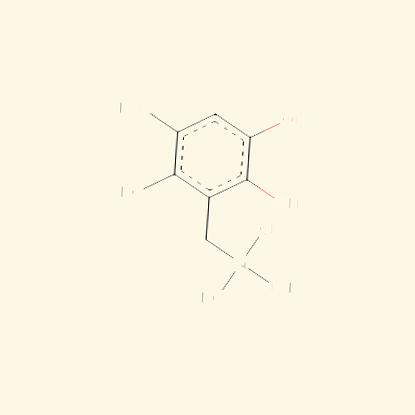 Cc1cc(O)c(O)c(C[Si](C)(C)C)c1C